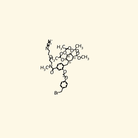 COC(=O)[C@H]1C[C@@H](Cc2ccc(C(=O)N(C)CCOCCN=[N+]=[N-])cc2OSOc2ccc(CBr)cc2)[C@H](OC(C)=O)[C@@H](OC(C)=O)[C@@H]1OC(C)=O